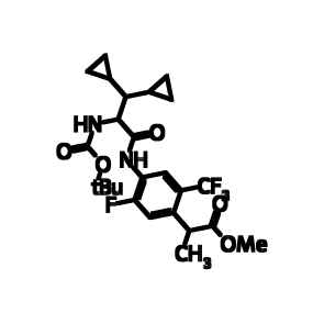 COC(=O)C(C)c1cc(F)c(NC(=O)C(NC(=O)OC(C)(C)C)C(C2CC2)C2CC2)cc1C(F)(F)F